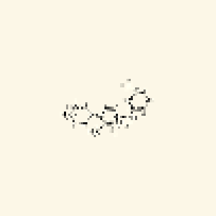 C=CC(/C=C\C)=C(\C=C/C(=C)Nc1cc(C)ccn1)C(=C)C